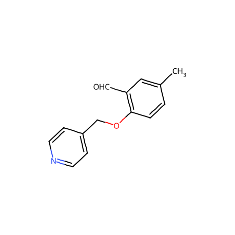 Cc1ccc(OCc2ccncc2)c(C=O)c1